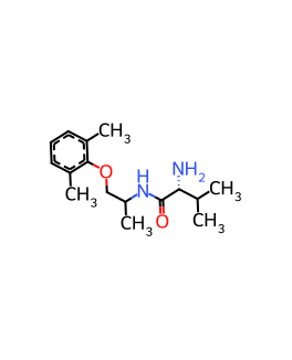 Cc1cccc(C)c1OCC(C)NC(=O)[C@H](N)C(C)C